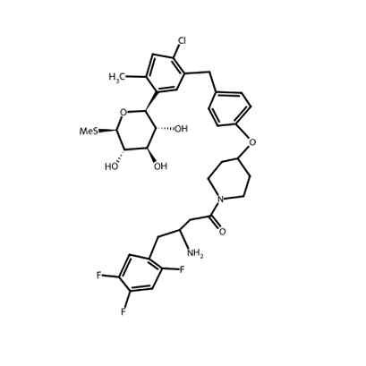 CS[C@H]1O[C@@H](c2cc(Cc3ccc(OC4CCN(C(=O)CC(N)Cc5cc(F)c(F)cc5F)CC4)cc3)c(Cl)cc2C)[C@H](O)[C@@H](O)[C@@H]1O